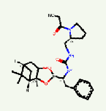 CC1(C)[C@@H]2CC3OB([C@H](Cc4ccccc4)NC(=O)NC[C@@H]4CCCN4C(=O)CC#N)O[C@@]3(C)[C@H]1C2